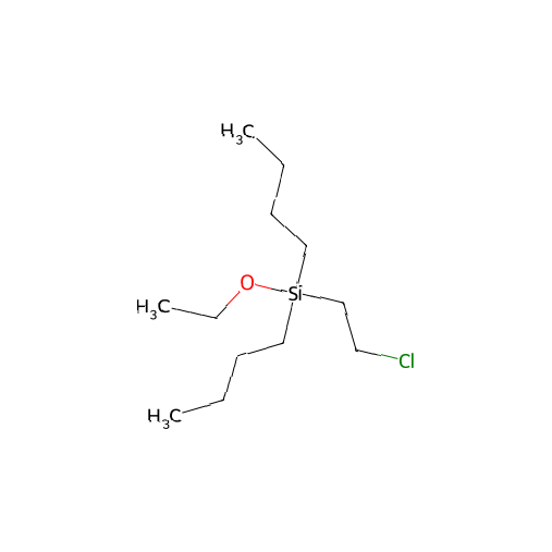 CCCC[Si](CCCl)(CCCC)OCC